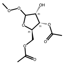 COOC1O[C@H](COC(C)=O)[C@@H](OC(C)=O)[C@H]1O